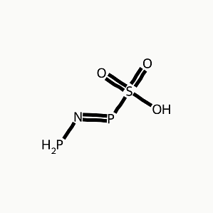 O=S(=O)(O)P=NP